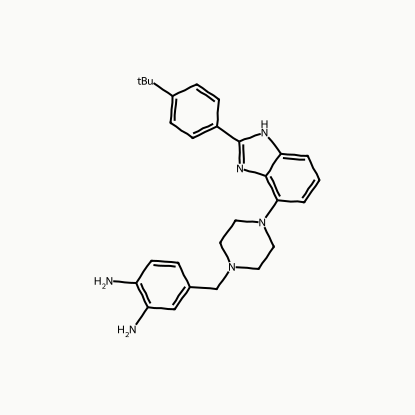 CC(C)(C)c1ccc(-c2nc3c(N4CCN(Cc5ccc(N)c(N)c5)CC4)cccc3[nH]2)cc1